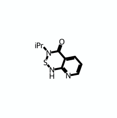 CC(C)N1SNc2ncccc2C1=O